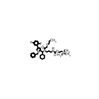 CCCSCC(=O)N(CCCNC(=O)OCC[Si](C)(C)C)[C@@H](c1cc(-c2cc(F)ccc2F)cn1Cc1ccccc1)C1CCCCC1